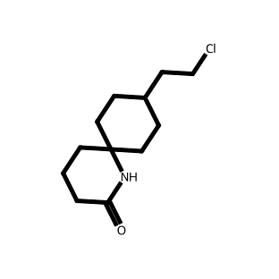 O=C1CCCC2(CCC(CCCl)CC2)N1